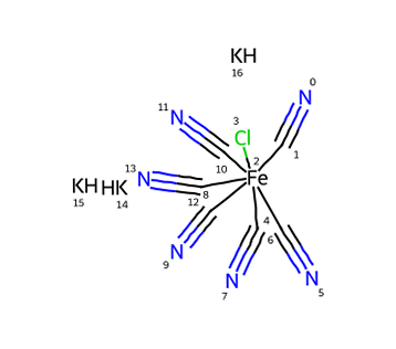 N#[C][Fe]([Cl])([C]#N)([C]#N)([C]#N)([C]#N)[C]#N.[KH].[KH].[KH]